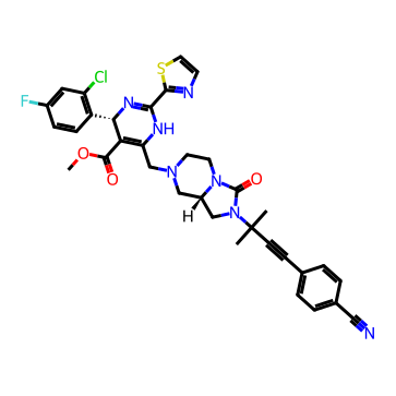 COC(=O)C1=C(CN2CCN3C(=O)N(C(C)(C)C#Cc4ccc(C#N)cc4)C[C@@H]3C2)NC(c2nccs2)=N[C@H]1c1ccc(F)cc1Cl